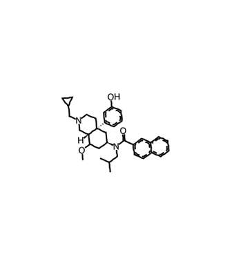 COC1C[C@H](N(CC(C)C)C(=O)c2ccc3ccccc3c2)C[C@]2(c3cccc(O)c3)CCN(CC3CC3)C[C@@H]12